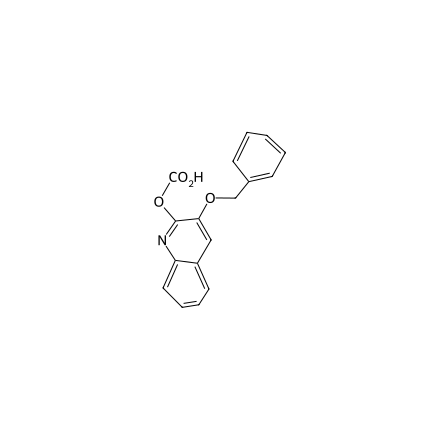 O=C(O)Oc1nc2ccccc2cc1OCc1ccccc1